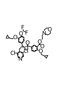 O=C(O[C@@H](Cc1c(Cl)cncc1Cl)c1ccc(OC(F)F)c(OCC2CC2)c1)c1ccc(OCC2CC2)c(C(=O)OCCN2CCOCC2)c1